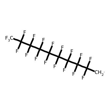 [CH2]C(F)(F)C(F)(F)C(F)(F)C(F)(F)C(F)(F)C(F)(F)C(F)(F)C(F)(F)C(F)(F)F